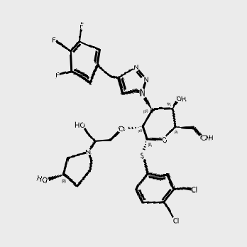 OC[C@H]1O[C@H](Sc2ccc(Cl)c(Cl)c2)[C@H](OCC(O)N2CC[C@@H](O)C2)[C@@H](n2cc(-c3cc(F)c(F)c(F)c3)nn2)[C@H]1O